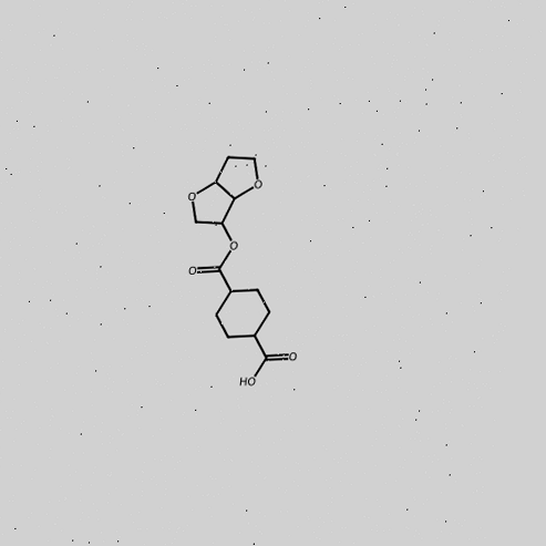 O=C(O)C1CCC(C(=O)OC2COC3CCOC32)CC1